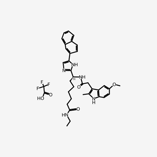 CCNC(=O)CCCCC[C@H](NC(=O)Cc1c(C)[nH]c2ccc(OC)cc12)c1ncc(-c2ccc3ccccc3c2)[nH]1.O=C(O)C(F)(F)F